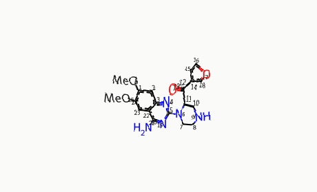 COc1cc2nc(N3CCNCC3C(=O)c3ccoc3)nc(N)c2cc1OC